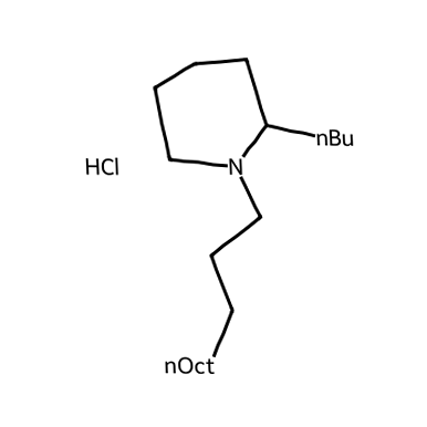 CCCCCCCCCCCN1CCCCC1CCCC.Cl